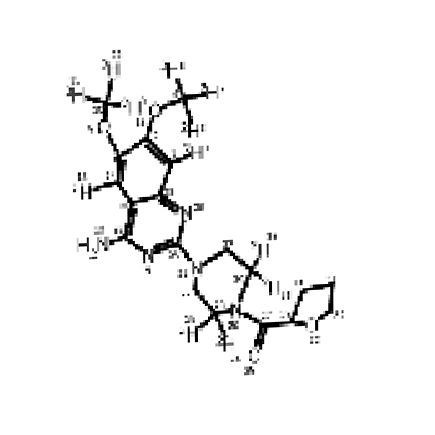 [2H]c1c(OC([2H])([2H])[2H])c(OC([2H])([2H])[2H])c([2H])c2c(N)nc(N3CC([2H])([2H])N(C(=O)C4CCCO4)C([2H])([2H])C3)nc12